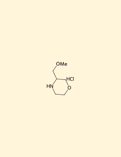 COCC1COCCN1.Cl